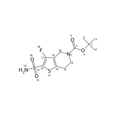 CC(C)(C)OC(=O)N1CCc2sc(S(N)(=O)=O)c(F)c2C1